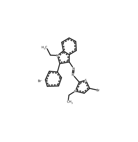 CCn1c(-c2ccccc2)c(N=Nc2sc(Br)c[n+]2CC)c2ccccc21.[Br-]